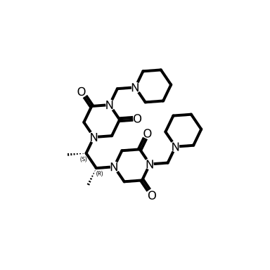 C[C@H]([C@H](C)N1CC(=O)N(CN2CCCCC2)C(=O)C1)N1CC(=O)N(CN2CCCCC2)C(=O)C1